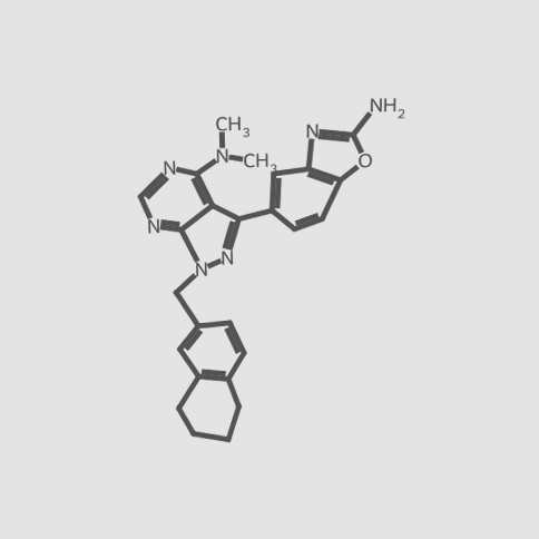 CN(C)c1ncnc2c1c(-c1ccc3oc(N)nc3c1)nn2Cc1ccc2c(c1)CCCC2